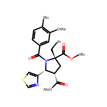 COC(=O)[C@H]1C[C@@](CC(C)C)(C(=O)OC(C)(C)C)N(C(=O)c2ccc(C(C)(C)C)c(OC)c2)[C@H]1c1cscn1